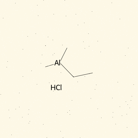 C[CH2][Al]([CH3])[CH3].Cl